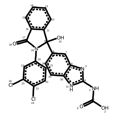 O=C(O)Nc1nc2cc(C3(O)c4ccccc4C(=O)N3c3ccc(Cl)c(Cl)c3)ccc2[nH]1